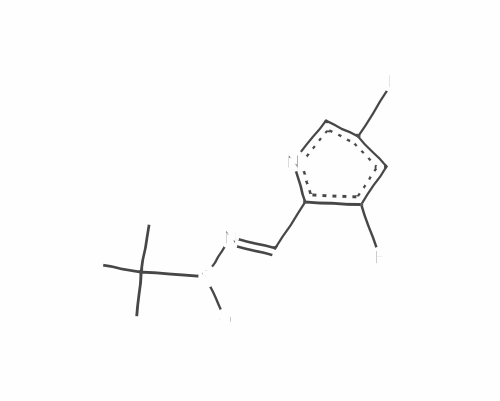 CC(C)(C)[S+]([O-])N=Cc1ncc(F)cc1F